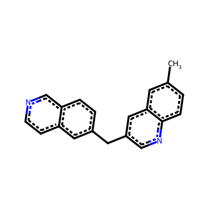 Cc1ccc2ncc(Cc3ccc4cnccc4c3)cc2c1